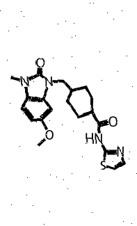 COc1ccc2c(c1)n(CC1CCC(C(=O)Nc3nccs3)CC1)c(=O)n2C